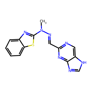 CN(/N=C/c1ncc2[nH]cnc2n1)c1nc2ccccc2s1